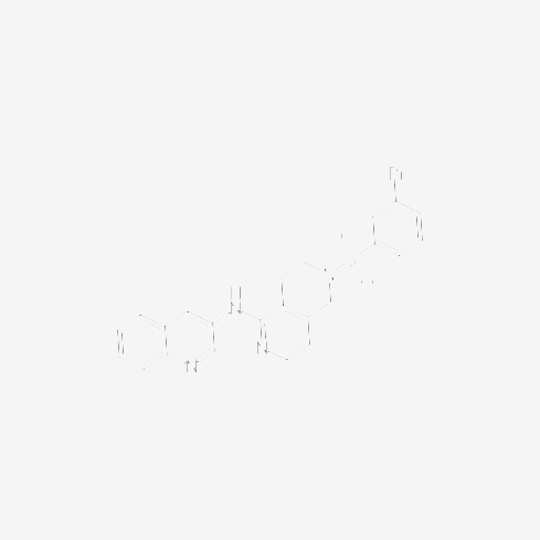 O=S(=O)(c1cccc(Br)c1)N1CCc2c(ccnc2Nc2cnc3ccccc3c2)C1